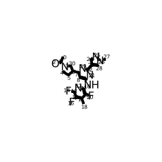 CC(=O)N1CCC(c2cc(Nc3nc(F)c(F)c(C)c3F)nc(-c3cnn(C)c3)n2)C1